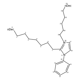 CCCCCCCCCCCCCCCCCc1n(-c2ccccc2)cc[n+]1CCCCCCCCCCCCCCC